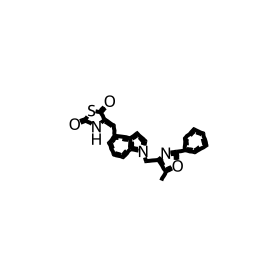 Cc1oc(-c2ccccc2)nc1Cn1ccc2c(C=C3NC(=O)SC3=O)cccc21